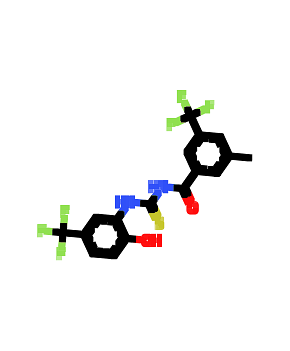 Cc1cc(C(=O)NC(=S)Nc2cc(C(F)(F)F)ccc2O)cc(C(F)(F)F)c1